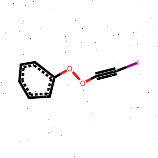 IC#COOc1ccccc1